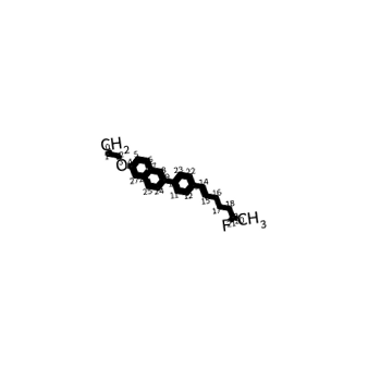 C=CCOc1ccc2cc(-c3ccc(/C=C/CCCC(C)F)cc3)ccc2c1